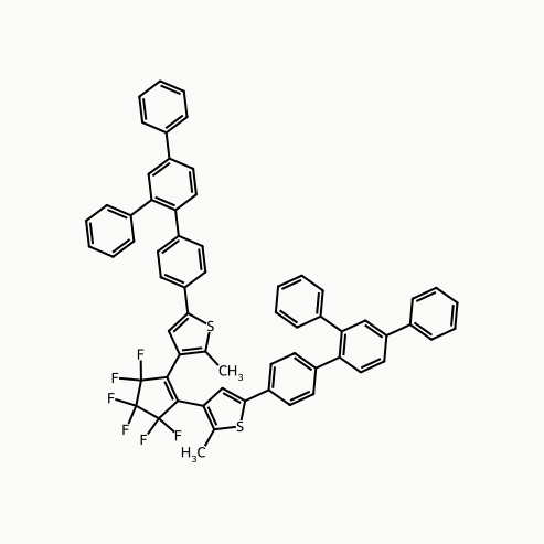 Cc1sc(-c2ccc(-c3ccc(-c4ccccc4)cc3-c3ccccc3)cc2)cc1C1=C(c2cc(-c3ccc(-c4ccc(-c5ccccc5)cc4-c4ccccc4)cc3)sc2C)C(F)(F)C(F)(F)C1(F)F